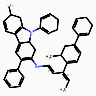 C/C=C(\C=C\NC1=C(c2ccccc2)C=C2C3=C(CC(C)C=C3)N(C3=CCCC=C3)C2C1)C1=CC=C(C2=CCCC=C2)CC1C